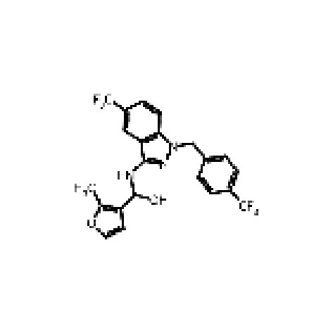 Cc1occc1C(O)Nc1nn(Cc2ccc(C(F)(F)F)cc2)c2ccc(C(F)(F)F)cc12